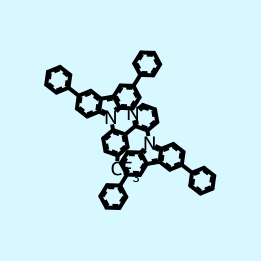 FC(F)(F)c1ccc(-n2c3ccc(-c4ccccc4)cc3c3cc(-c4ccccc4)ccc32)c(-c2ncccc2-n2c3ccc(-c4ccccc4)cc3c3cc(-c4ccccc4)ccc32)c1